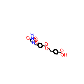 O=C1CN(Cc2ccc(C(=O)OCCc3ccc(C(=O)O)cc3)cc2)S(=O)(=O)N1